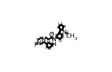 CCn1c2ccccc2c2cc(NC(=O)CCN3CCN(F)CC3c3ccccc3)ccc21